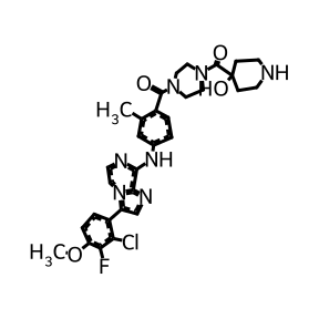 COc1ccc(-c2cnc3c(Nc4ccc(C(=O)N5CCN(C(=O)C6(O)CCNCC6)CC5)c(C)c4)nccn23)c(Cl)c1F